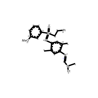 CCN(C)/C=N/c1cc(C)c(N=S(=O)(CCC(C)C)c2cccc(OC)c2)cc1C